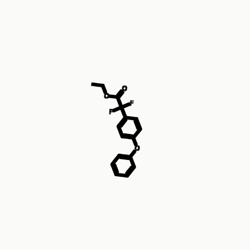 CCOC(=O)C(F)(F)c1ccc(Oc2ccccc2)cc1